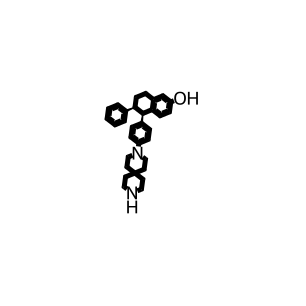 Oc1ccc2c(c1)CC[C@H](c1ccccc1)[C@@H]2c1ccc(N2CCC3(CCNCC3)CC2)cc1